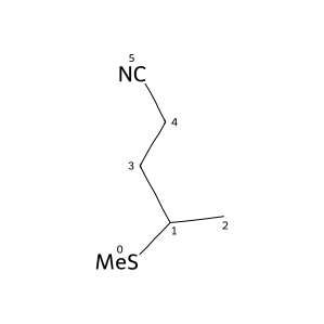 CSC(C)CCC#N